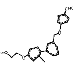 CC(=O)OCCOc1ccc(-c2cccc(COc3ccc(C=O)cc3)c2)c(C)c1